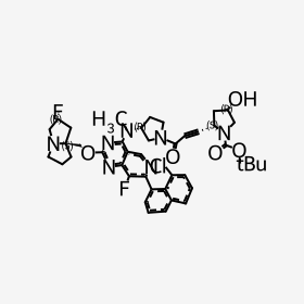 CN(c1nc(OC[C@@]23CCCN2C[C@H](F)C3)nc2c(F)c(-c3cccc4cccc(Cl)c34)ncc12)[C@@H]1CCN(C(=O)C#C[C@@H]2C[C@@H](O)CN2C(=O)OC(C)(C)C)C1